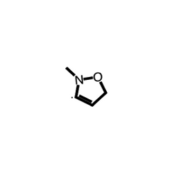 CN1[C]=CCO1